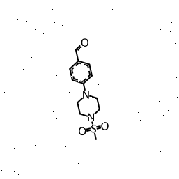 CS(=O)(=O)N1CCN(c2ccc(C=O)cc2)CC1